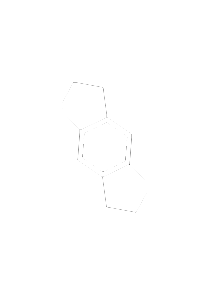 [C]1COc2cc3c(cc21)OCC3